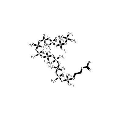 CCC(C)C(=O)OCCO[Si](C)(C)O[Si](C)(C)O[Si](C)(C)O[Si](C)(C)O[Si](C)(C)O[Si](C)(C)O[Si](C)(C)O[Si](C)(C)O[Si](C)(C)O[Si](C)(C)O[Si](C)(C)C